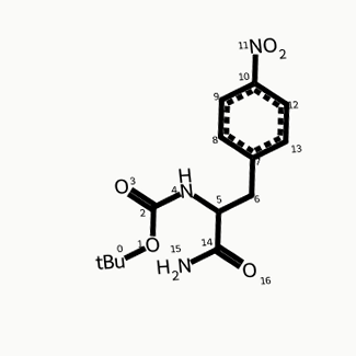 CC(C)(C)OC(=O)NC(Cc1ccc([N+](=O)[O-])cc1)C(N)=O